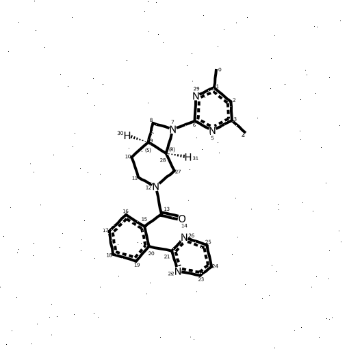 Cc1cc(C)nc(N2C[C@@H]3CCN(C(=O)c4ccccc4-c4ncccn4)C[C@@H]32)n1